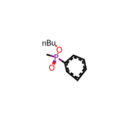 CCCCOP(C)(=O)c1ccccc1